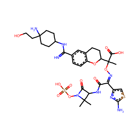 CC(ON=C(C(=O)NC1C(=O)N(OS(=O)(=O)O)C1(C)C)c1csc(N)n1)(C(=O)O)C1CCc2cc(C(=N)NC3CCC(N)(CCO)CC3)ccc2O1